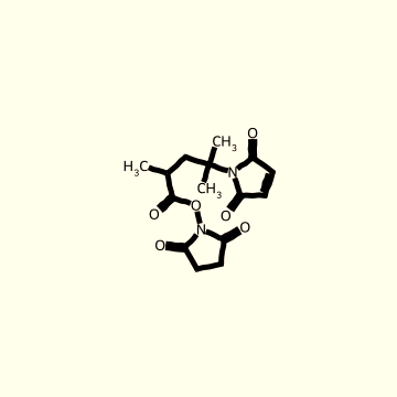 CC(CC(C)(C)N1C(=O)C=CC1=O)C(=O)ON1C(=O)CCC1=O